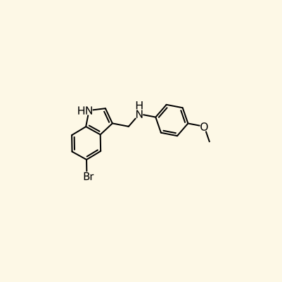 COc1ccc(NCc2c[nH]c3ccc(Br)cc23)cc1